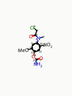 COc1cc(N(C)C(=O)CCl)c([N+](=O)[O-])cc1OC(N)=O